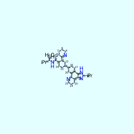 C=C(Nc1c(C)c2cccnc2c2cc(-c3ccc4c(c3)c3ncccc3c3nc(C(C)C)[nH]c43)ccc12)C(C)C